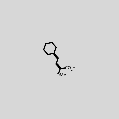 COC(=CC=C1CCCCC1)C(=O)O